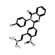 CN(C)C=Cc1cc(-c2nc3ccccc3c(=O)n2-c2ccc(Cl)cc2)ccc1[N+](=O)[O-]